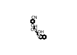 N#Cc1ccc(OCC(=O)NCC(O)CN2CCc3ccccc3C2)cc1